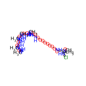 CC(=O)N1c2ccc(-c3ccc(C(=O)NCCOCCOCCOCCOCCOCCOCCOCCOCCNC(=O)CCNC(=O)c4nc(NC(=O)CCNC(=O)c5cc(NC(=O)c6nc(NC(=O)CCNC(=O)c7cc(NC(=O)c8nccn8C)cn7C)cn6C)cn5C)cn4C)cc3)cc2[C@H](Nc2ccc(Cl)cc2)C[C@@H]1C